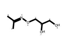 CC(C)=NOCC(O)CO